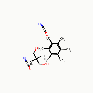 CC(C)(CO)CO.Cc1c(C)c(C)c(C)c(C)c1C.N=C=O.N=C=O